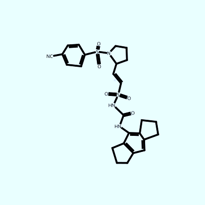 N#Cc1ccc(S(=O)(=O)N2CCCC2/C=C/S(=O)(=O)NC(=O)Nc2c3c(cc4c2CCC4)CCC3)cc1